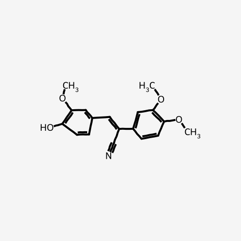 COc1cc(C=C(C#N)c2ccc(OC)c(OC)c2)ccc1O